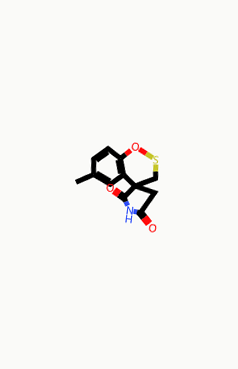 Cc1ccc2c(c1)C1(CSO2)CC(=O)NC1=O